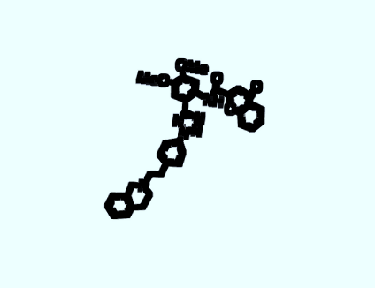 COc1cc(NC(=O)c2cc(=O)c3ccccc3o2)c(-c2nnn(-c3ccc(CCN4CCc5ccccc5C4)cc3)n2)cc1OC